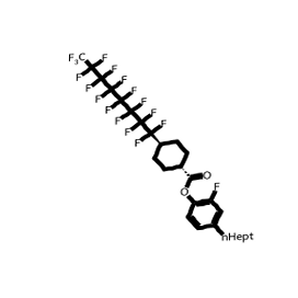 CCCCCCCc1ccc(OC(=O)[C@H]2CC[C@H](C(F)(F)C(F)(F)C(F)(F)C(F)(F)C(F)(F)C(F)(F)C(F)(F)C(F)(F)F)CC2)c(F)c1